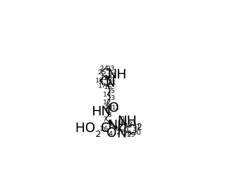 NC1C(C(=O)NC(CCNC(=O)CCCCc2ccc3c(n2)NCCC3)C(=O)O)=Nc2ccccc21